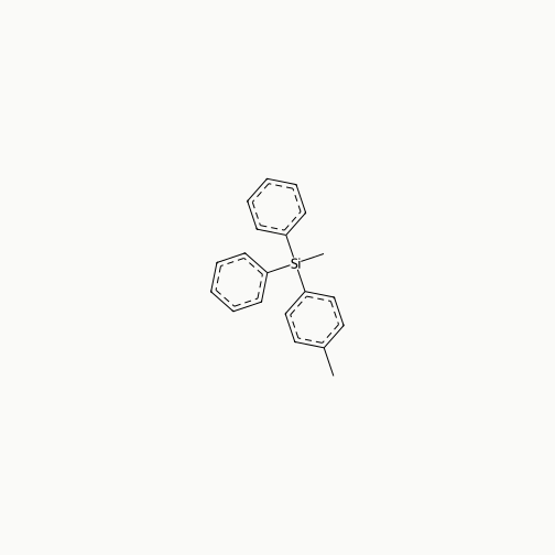 Cc1ccc([Si](C)(c2ccccc2)c2ccccc2)cc1